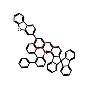 c1ccc(-c2ccccc2-c2c(-c3ccccc3)cccc2N(c2ccc(-c3ccc4c(c3)oc3ccccc34)cc2)c2cccc3c2-c2ccccc2C32c3ccccc3-c3ccccc32)cc1